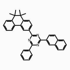 CC1(C)c2ccccc2-c2cc(-c3nc(-c4ccccc4)nc(-c4ccc5ccccc5c4)n3)ccc2C1(C)C